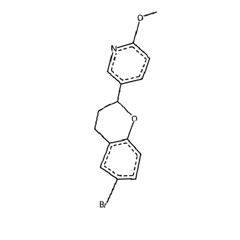 COc1ccc(C2CCc3cc(Br)ccc3O2)cn1